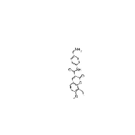 CCc1c(OC)ccc2cc(C(=O)Nc3ccc(CN)cc3)c(=O)oc12